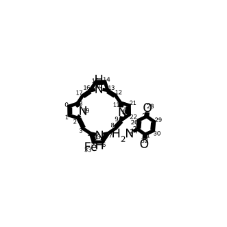 C1=Cc2cc3ccc(cc4nc(cc5ccc(cc1n2)[nH]5)C=C4)[nH]3.NC1=CC(=O)C=CC1=O.[Fe]